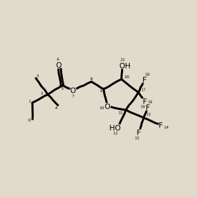 CCC(C)(C)C(=O)OCC1OC(O)(C(F)(F)F)C(F)(F)C1O